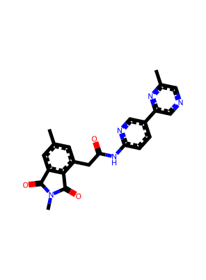 Cc1cc(CC(=O)Nc2ccc(-c3cncc(C)n3)cn2)c2c(c1)C(=O)N(C)C2=O